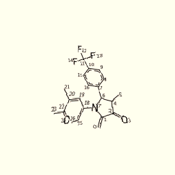 C=C1C(=O)C(C)C(c2ccc(C(F)(F)F)cc2)N1C(/C=C(/C)C(C)=O)=C/C